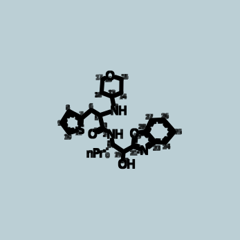 CCC[C@H](NC(=O)C(Cc1cccs1)NC1CCOCC1)C(O)c1nc2ccccc2o1